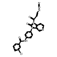 [N-]=[N+]=NC=CC(=O)n1c(=O)n(-c2ccc(NC(=O)c3cccc(Cl)c3)cc2)c2cnccc21